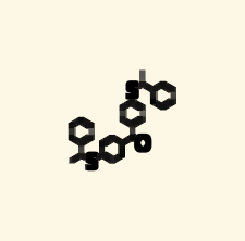 CC(Sc1ccc(C(=O)c2ccc(SC(C)c3ccccc3)cc2)cc1)c1ccccc1